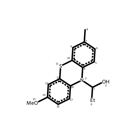 CCC(O)N1c2ccc(C)cc2Sc2cc(OC)ccc21